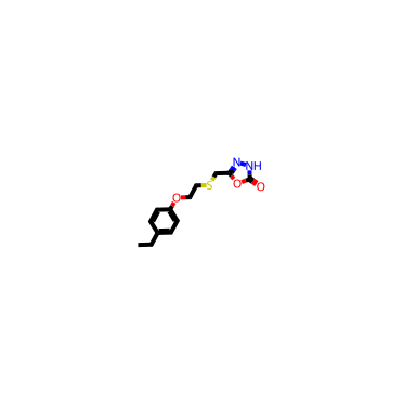 CCc1ccc(OCCSCc2n[nH]c(=O)o2)cc1